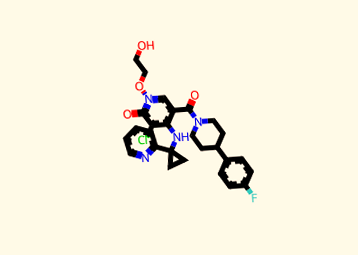 O=C(c1cn(OCCO)c(=O)c(Cl)c1NC1(c2ccccn2)CC1)N1CCC(c2ccc(F)cc2)CC1